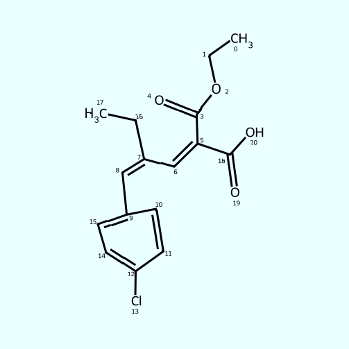 CCOC(=O)C(=CC(=Cc1ccc(Cl)cc1)CC)C(=O)O